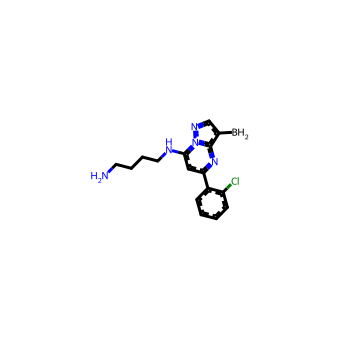 Bc1cnn2c(NCCCCN)cc(-c3ccccc3Cl)nc12